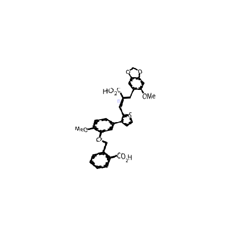 COc1cc2c(cc1C/C(=C\c1sccc1-c1ccc(OC)c(OCc3ccccc3C(=O)O)c1)C(=O)O)OCO2